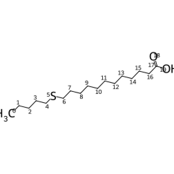 CCCCCSCCCCCCCCCCCC(=O)O